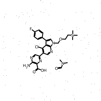 CN(C)C=O.C[Si](C)(C)CCOCn1cc(-c2ccc(F)cc2)c2c(Cl)c(-c3cnc(N)c(C(=O)O)n3)cnc21